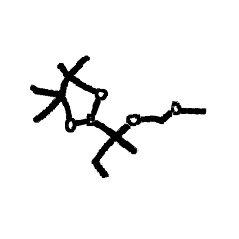 CCC(C)(OCOC)B1OC(C)(C)C(C)(C)O1